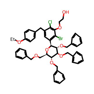 CCOc1ccc(Cc2cc([C@@H]3O[C@H](COCc4ccccc4)[C@@H](OCc4ccccc4)[C@H](OCc4ccccc4)[C@H]3OCc3ccccc3)c(Br)c(OCCO)c2Cl)cc1